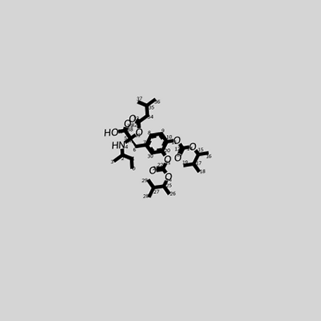 CCC(C)N[C@@](Cc1ccc(OC(=O)OC(C)C(C)C)c(OC(=O)OC(C)C(C)C)c1)(OC(=O)CC(C)C)C(=O)O